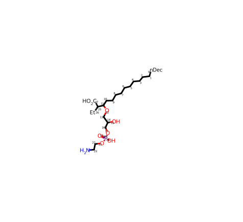 CCCCCCCCCCCCCCCCCCCCC(OCC(O)COP(=O)(O)OCCN)C(CC)C(=O)O